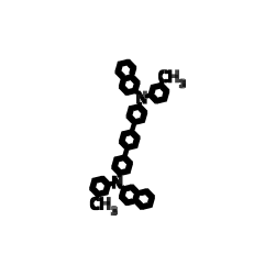 Cc1cccc(N(c2ccc(-c3ccc(-c4ccc(N(c5cccc(C)c5)c5ccc6ccccc6c5)cc4)cc3)cc2)c2ccc3ccccc3c2)c1